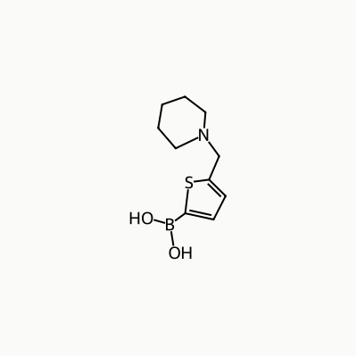 OB(O)c1ccc(CN2CCCCC2)s1